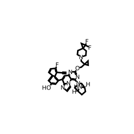 C#Cc1c(F)ccc2cc(O)cc(-c3cc4nc(OCC5(CN6CCC7(CC6)CC7(F)F)CC5)nc(N5C[C@H]6CC[C@@H](C5)N6)c4n4ccnc34)c12